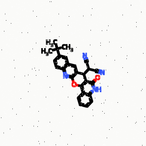 CC(C)(C)c1ccc2nc3c(cc2c1)C(C(C#N)C#N)c1c(c2ccccc2[nH]c1=O)O3